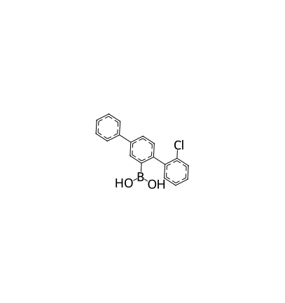 OB(O)c1cc(-c2ccccc2)ccc1-c1ccccc1Cl